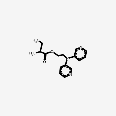 CCC(C)C(=O)OCCN(c1cccnc1)c1cccnc1